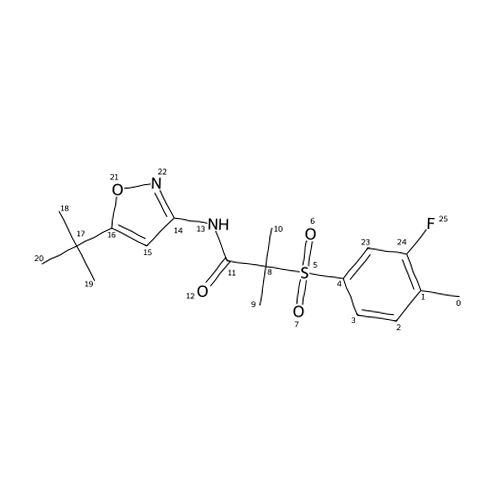 Cc1ccc(S(=O)(=O)C(C)(C)C(=O)Nc2cc(C(C)(C)C)on2)cc1F